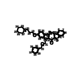 O=C(c1sc2ccccc2c1Br)c1nc2ccc(OCCCN3CCCCC3)cc2n1COCc1ccccc1